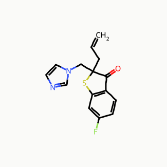 C=CCC1(Cn2ccnc2)Sc2cc(F)ccc2C1=O